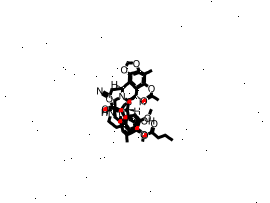 CCCC(=O)Oc1cc2c(cc1OC)[C@@]1(CS[C@@H]3c4c(OC(C)=O)c(C)c5c(c4[C@H](COC1=O)N1C3[C@@H]3c4c(cc(C)c(OC)c4O)C[C@H]([C@@H]1C#N)N3C)OCO5)NCC2